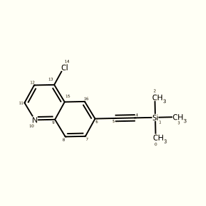 C[Si](C)(C)C#Cc1ccc2nccc(Cl)c2c1